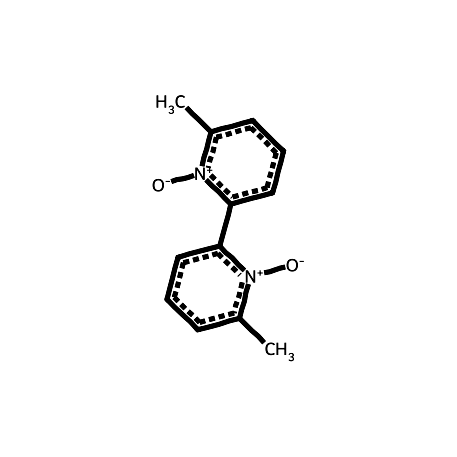 Cc1cccc(-c2cccc(C)[n+]2[O-])[n+]1[O-]